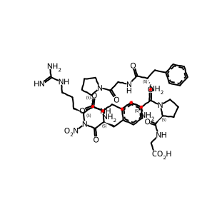 N=C(N)NCCC[C@@H](C(=O)C(N)CCC[C@H](N)C(=O)N1CCC[C@H]1C(=O)NCC(=O)O)N(C(=O)[C@H](Cc1ccccc1)NC(=O)[C@@H]1CCCN1C(=O)CNC(=O)[C@@H](N)Cc1ccccc1)[N+](=O)[O-]